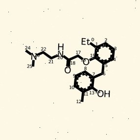 CCc1cccc(Cc2cccc(C)c2O)c1OCC(=O)NCCN(C)C